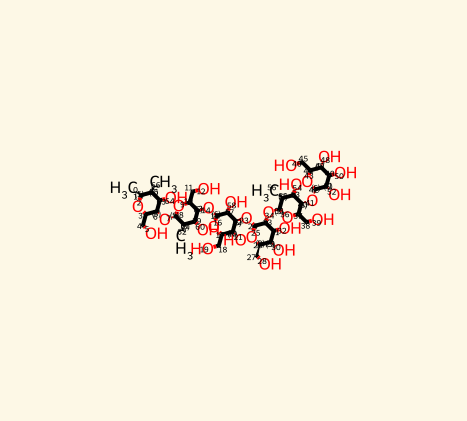 C[C@@H]1OC(CO)[C@@H](O[C@@H]2OC(CO)[C@@H](O[C@@H]3OC(CO)[C@@H](O)[C@H](OC4O[C@H](CO)[C@@H](O)C(O)C4O[C@@H]4OC(CO)[C@@H](O[C@@H]5OC(CO)[C@H](O)C(O)[C@@H]5O)C(O)[C@@H]4C)C3O)C(O)[C@@H]2C)C(O)[C@@H]1C